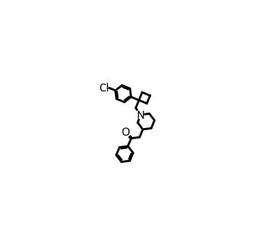 O=C(CC1CCCN(CC2(c3ccc(Cl)cc3)CCC2)C1)c1ccccc1